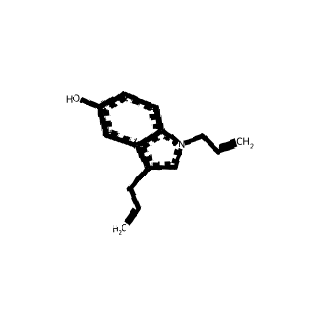 C=CCc1cn(CC=C)c2ccc(O)cc12